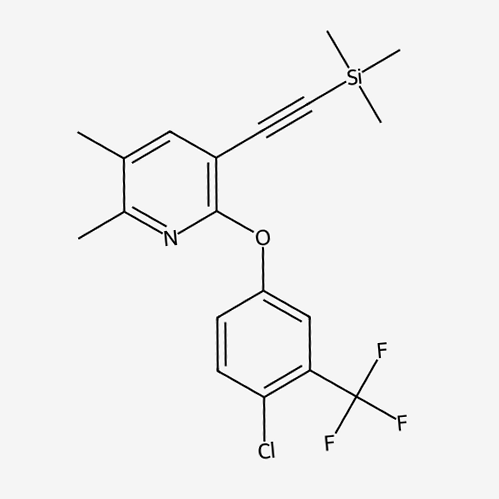 Cc1cc(C#C[Si](C)(C)C)c(Oc2ccc(Cl)c(C(F)(F)F)c2)nc1C